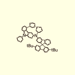 CC(C)(C)c1ccc2c(c1)C1(c3ccccc3-c3cc(N(c4ccccc4)c4ccc5c(c4)c4c(-c6ccccc6)cccc4n5-c4ccccc4)ccc31)c1cc(C(C)(C)C)ccc1-2